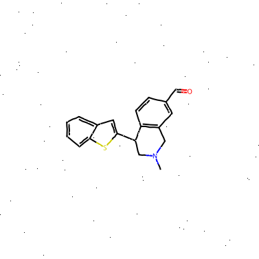 CN1Cc2cc(C=O)ccc2C(c2cc3ccccc3s2)C1